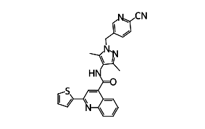 Cc1nn(Cc2ccc(C#N)nc2)c(C)c1NC(=O)c1cc(-c2cccs2)nc2ccccc12